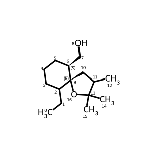 CCC1CCC[C@@H](CO)[C@@]12CC(C)C(C)(C)O2